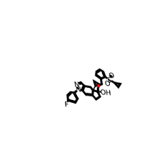 O=S(=O)(c1ccccc1CC[C@]1(O)CCC2=Cc3c(cnn3-c3ccc(F)cc3)C[C@@]21C1CC1)C1CC1